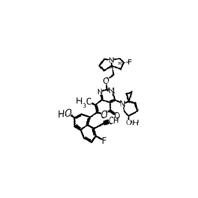 C#Cc1c(F)ccc2cc(O)cc(-c3oc(=O)c4c(N5CC(O)CCC56CC6)nc(OC[C@@]56CCCN5C[C@H](F)C6)nc4c3C)c12